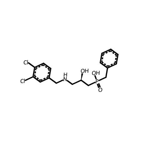 O=P(O)(Cc1ccccc1)C[C@H](O)CNCc1ccc(Cl)c(Cl)c1